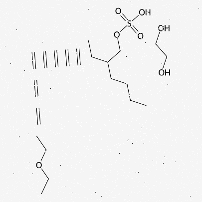 C=C.C=C.C=C.C=C.C=C.C=C.C=C.CCCCC(CC)COS(=O)(=O)O.CCOCC.OCCO